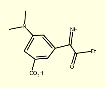 CCC(=O)C(=N)c1cc(C(=O)O)cc(N(C)C)c1